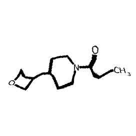 CCC(=O)N1CCC(C2COC2)CC1